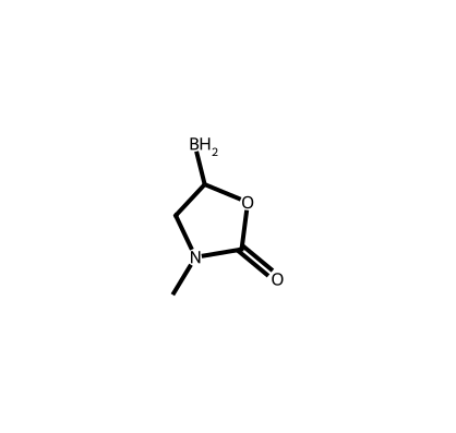 BC1CN(C)C(=O)O1